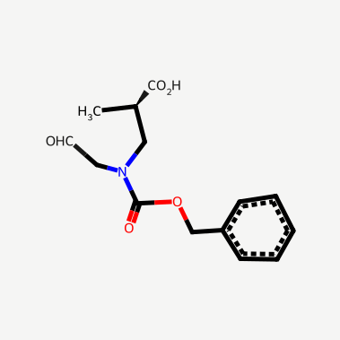 C[C@H](CN(CC=O)C(=O)OCc1ccccc1)C(=O)O